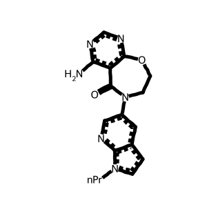 CCCn1ccc2cc(N3CCOc4ncnc(N)c4C3=O)cnc21